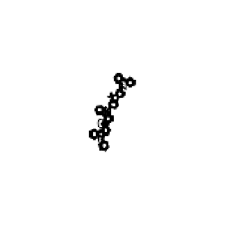 CC1(C)c2cc(-n3c4ccccc4c4ccccc43)ccc2-c2ccc(-n3c4ccccc4c4c5oc6c(ccc7c6c6ccccc6n7-c6ccccc6)c5ccc43)cc21